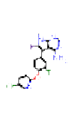 Cn1c(I)c(-c2ccc(Oc3ccc(Cl)cn3)c(F)c2)c2c(N)ncnc21